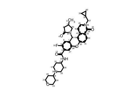 CC1CC(=O)N(Cc2cc(F)c(C(=O)NC3CCN(C4CCOCC4)CC3)cc2Oc2ccc3c(=O)n(CC4CC4)ccc3c2)C1